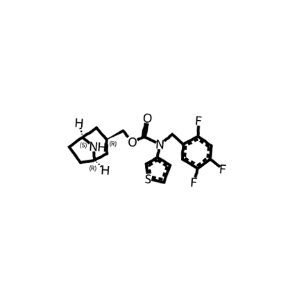 O=C(OC[C@H]1C[C@H]2CC[C@@H](C1)N2)N(Cc1cc(F)c(F)cc1F)c1ccsc1